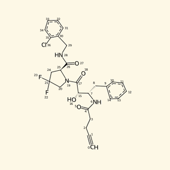 C#CCCC(=O)N[C@@H](Cc1ccccc1)[C@H](O)C(=O)N1CC(F)(F)C[C@H]1C(=O)NCc1ccccc1Cl